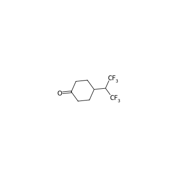 O=C1CCC(C(C(F)(F)F)C(F)(F)F)CC1